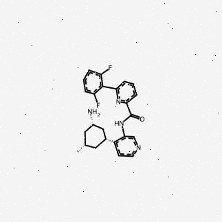 C[C@@H]1C[C@H](N)C[C@H](c2ccncc2NC(=O)c2cccc(-c3c(F)cccc3F)n2)C1